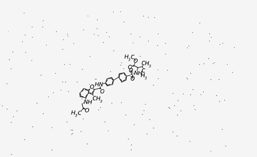 COC(=O)C(NS(=O)(=O)c1ccc(-c2ccc(NC(=O)c3oc4cccc(NCC(C)=O)c4c3C)cc2)cc1)C(C)C